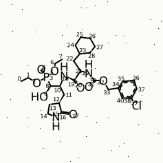 CCOP(=O)(OCC)C(O)C(C[C@@H]1CCNC1=O)NC(=O)C(CC1CCCCC1)NC(=O)OCc1cccc(Cl)c1